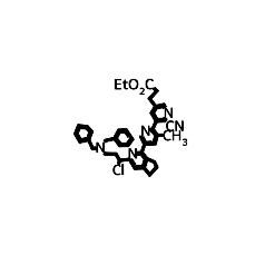 CCOC(=O)CCc1cnc(C#N)c(-c2ncc(-c3nc(C(Cl)CCN(Cc4ccccc4)Cc4ccccc4)cc4c3CCC4)cc2C)c1